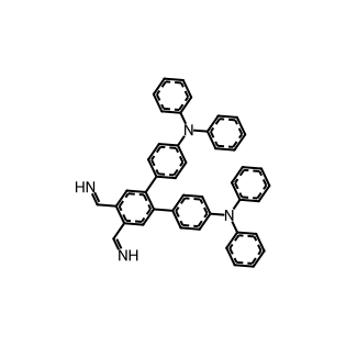 N=Cc1cc(-c2ccc(N(c3ccccc3)c3ccccc3)cc2)c(-c2ccc(N(c3ccccc3)c3ccccc3)cc2)cc1C=N